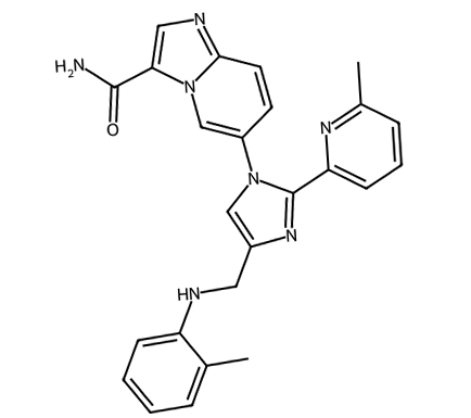 Cc1cccc(-c2nc(CNc3ccccc3C)cn2-c2ccc3ncc(C(N)=O)n3c2)n1